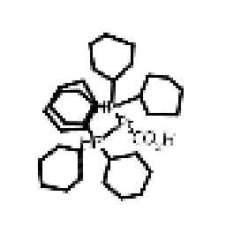 O=[C](O)[Pt]([PH](C1CCCCC1)(C1CCCCC1)C1CCCCC1)[PH](C1CCCCC1)(C1CCCCC1)C1CCCCC1